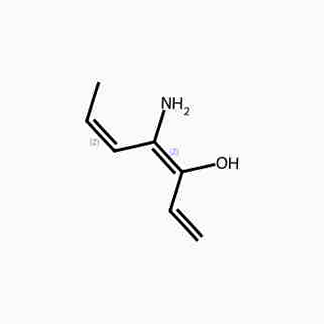 C=C/C(O)=C(N)\C=C/C